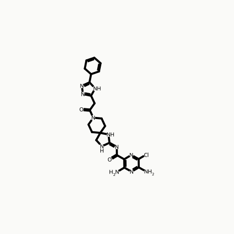 Nc1nc(N)c(C(=O)/N=C2\NCC3(CCN(C(=O)Cc4nnc(C5C=CC=CC5)[nH]4)CC3)N2)nc1Cl